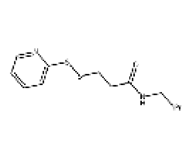 CC(C)CNC(=O)CCSSc1ccccn1